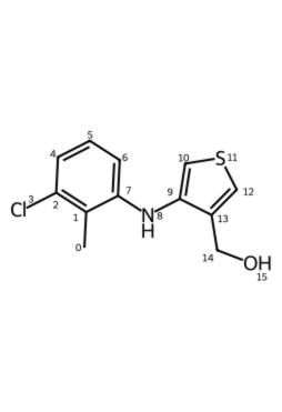 Cc1c(Cl)cccc1Nc1cscc1CO